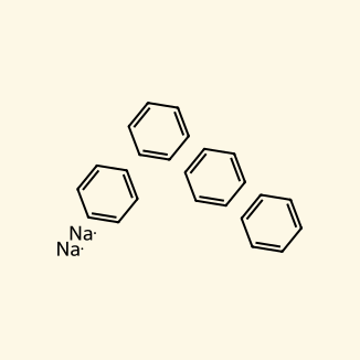 [Na].[Na].c1ccccc1.c1ccccc1.c1ccccc1.c1ccccc1